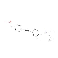 Cc1cc(C#Cc2ccc(CC(=O)O)cc2)ccc1CNC(C)C1CC1